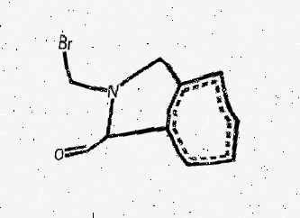 O=CC1c2ccccc2CN1CBr